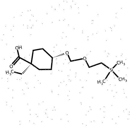 CC[C@]1(C(=O)O)CC[C@H](OCOCC[Si](C)(C)C)CC1